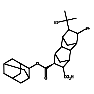 CCC(C)(C)C1C2CC(C3C4CC(C23)[C@H](C(=O)OC2C3CC5CC(C3)CC2C5)C4C(=O)O)C1C(C)C